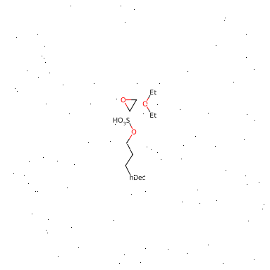 C1CO1.CCCCCCCCCCCCCOS(=O)(=O)O.CCOCC